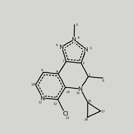 CC1c2nn(C)nc2-c2ccnc(Cl)c2N1C1CC1